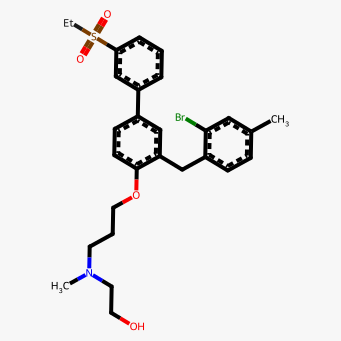 CCS(=O)(=O)c1cccc(-c2ccc(OCCCN(C)CCO)c(Cc3ccc(C)cc3Br)c2)c1